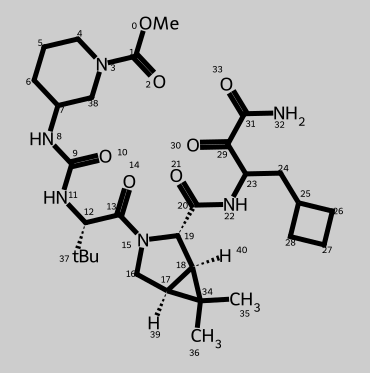 COC(=O)N1CCCC(NC(=O)N[C@H](C(=O)N2C[C@H]3[C@@H]([C@H]2C(=O)NC(CC2CCC2)C(=O)C(N)=O)C3(C)C)C(C)(C)C)C1